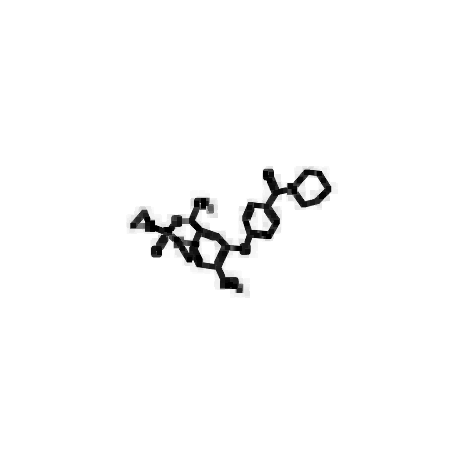 O=C(c1ccc(Oc2cc(C(OP(=O)(N3CC3)N3CC3)C(F)(F)F)ccc2[N+](=O)[O-])cc1)N1CCCCC1